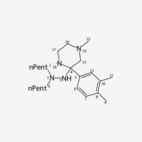 CCCCCN(CCCCC)NC1(c2ccc(C)c(C)c2)CN(C)CC[N]1